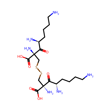 NCCCC[C@H](N)C(=O)[C@](N)(CSSC[C@](N)(C(=O)O)C(=O)[C@@H](N)CCCCN)C(=O)O